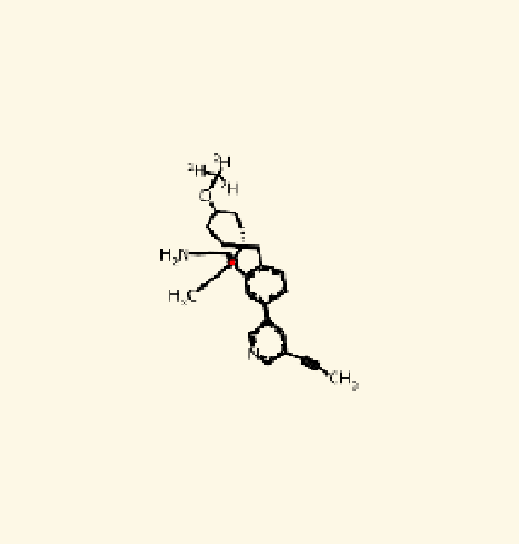 [2H]C([2H])([2H])O[C@H]1CC[C@]2(CC1)Cc1ccc(-c3cncc(C#CC)c3)cc1C21N=C(C)C(N)=N1